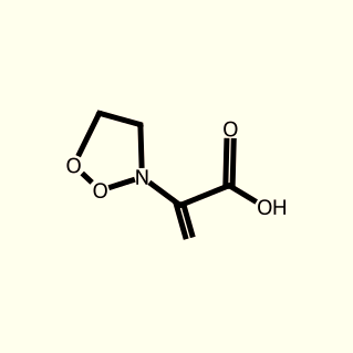 C=C(C(=O)O)N1CCOO1